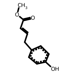 COC(=O)C=CCc1ccc(O)cc1